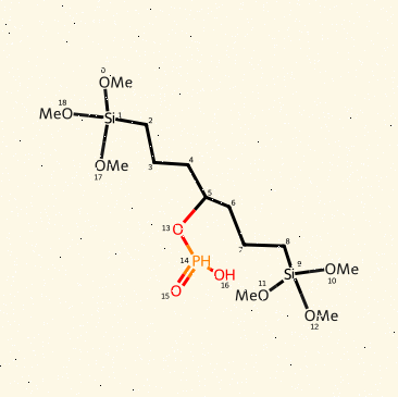 CO[Si](CCCC(CCC[Si](OC)(OC)OC)O[PH](=O)O)(OC)OC